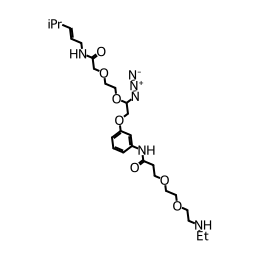 CCNCCOCCOCCC(=O)Nc1cccc(OCC(N=[N+]=[N-])OCCOCC(=O)NC/C=C/C(C)C)c1